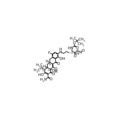 CN(C)[C@@H]1C(O)=C(C(N)=O)C(=O)[C@@]2(O)C(O)=C3C(=O)c4c(O)c(NCCC[C@H](NC(=O)OC(C)(C)C)C(=O)BN=O)cc(F)c4C[C@H]3C[C@@H]12